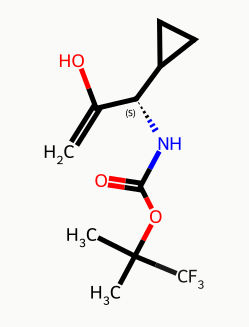 C=C(O)[C@@H](NC(=O)OC(C)(C)C(F)(F)F)C1CC1